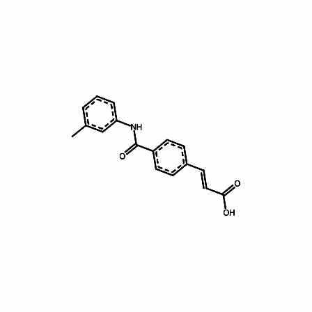 Cc1cccc(NC(=O)c2ccc(C=CC(=O)O)cc2)c1